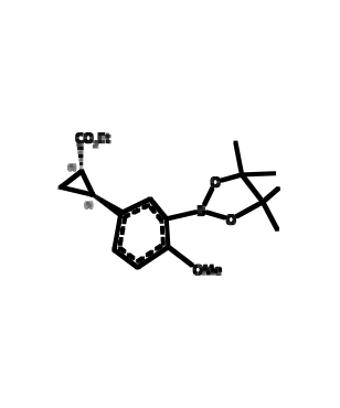 CCOC(=O)[C@H]1C[C@@H]1c1ccc(OC)c(B2OC(C)(C)C(C)(C)O2)c1